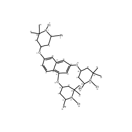 CCN1C(C(C)C)CC(Oc2ccc3c(OC4CC(C(C)C)N(CC)C(C)(C)C4)cc(OC4CC(C(C)C)N(CC)C(C)(C)C4)cc3c2)CC1(C)C